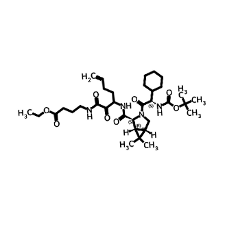 C=CCCC(NC(=O)[C@@H]1[C@@H]2[C@H](CN1C(=O)[C@@H](NC(=O)OC(C)(C)C)C1CCCCC1)C2(C)C)C(=O)C(=O)NCCCC(=O)OCC